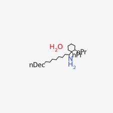 CCCCCCCCCCCCCCCCCC(N)C1(CCC)CCCCC1CCC.O